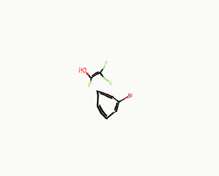 Brc1ccccc1.OC(F)=C(F)F